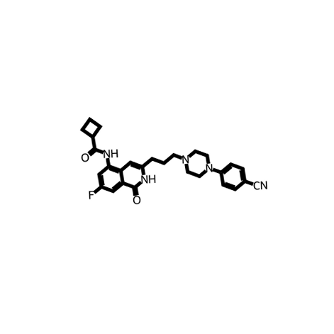 N#Cc1ccc(N2CCN(CCCc3cc4c(NC(=O)C5CCC5)cc(F)cc4c(=O)[nH]3)CC2)cc1